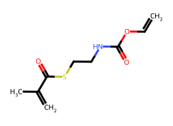 C=COC(=O)NCCSC(=O)C(=C)C